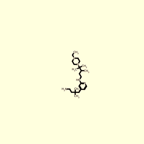 CCN1CCN(C(C)(C)C(C)CCNc2cc(CC(C)(C)CCN)ccn2)CC1